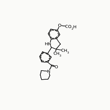 CC1(C)Cc2cc(OC(=O)O)ccc2NC1c1cccc(C(=O)N2CCCCC2)c1